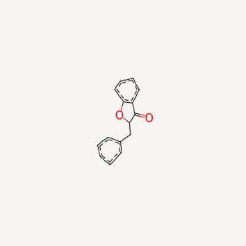 O=C1c2ccccc2OC1Cc1ccccc1